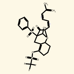 C=C(C)/C=C\C=C/C1C(=O)C2(S(=O)(=O)c3ccccc3)CC3=C(OS(=O)(=O)C(F)(F)F)CCCC3N1C2C